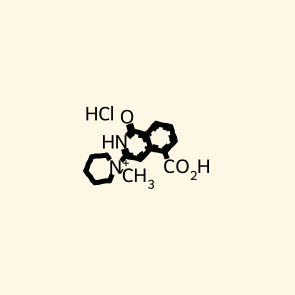 C[N+]1(c2cc3c(C(=O)O)cccc3c(=O)[nH]2)CCCCC1.Cl